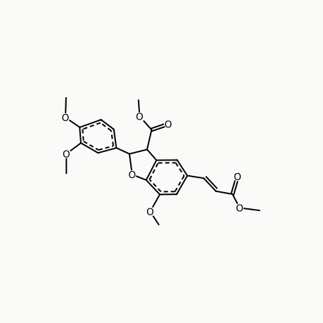 COC(=O)/C=C/c1cc(OC)c2c(c1)C(C(=O)OC)C(c1ccc(OC)c(OC)c1)O2